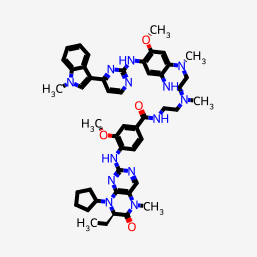 CC[C@@H]1C(=O)N(C)c2cnc(Nc3ccc(C(=O)NCCN(C)CCN(C)c4cc(OC)c(Nc5nccc(-c6cn(C)c7ccccc67)n5)cc4N)cc3OC)nc2N1C1CCCC1